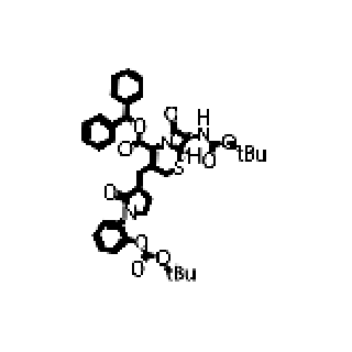 CC(C)(C)OC(=O)N[C@@H]1C(=O)N2C(C(=O)OC(c3ccccc3)c3ccccc3)=C(C=C3CCN(c4ccccc4OC(=O)OC(C)(C)C)C3=O)CS[C@H]12